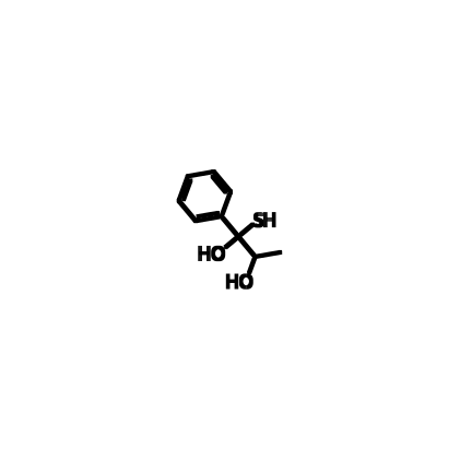 CC(O)C(O)(S)c1ccccc1